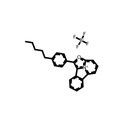 CCCCCc1ccc(-c2oc3cccc4[n+]3c2-c2ccccc2-4)cc1.F[B-](F)(F)F